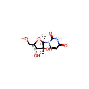 [2H][C@@]1(n2ccc(=O)[nH]c2=O)O[C@H](CO)[C@@H](O)[C@@]1([2H])O